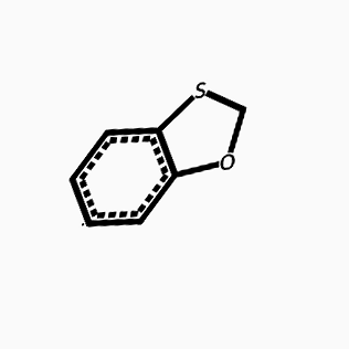 [c]1ccc2c(c1)OCS2